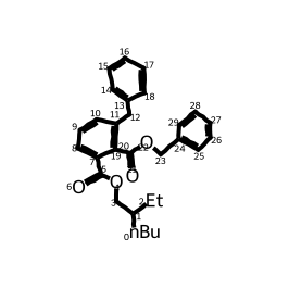 CCCCC(CC)COC(=O)c1cccc(Cc2ccccc2)c1C(=O)OCc1ccccc1